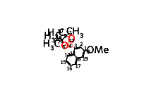 COc1cc(B2OC(C)(C)C(C)(C)O2)c2ccccc2c1